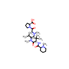 CC(C)[C@@H](CN(C)CC(=O)N1CCC[C@H]1C(=O)O)N(C)C(=O)[C@@H](NC(=O)C1CCCCN1C)C(C)(C)C